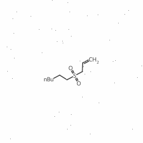 C=CCS(=O)(=O)CCCCCC